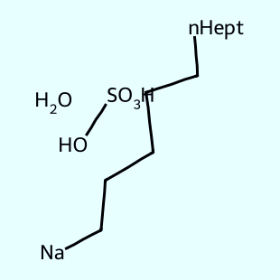 CCCCCCCCCCC[CH2][Na].O.O=S(=O)(O)O